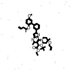 C=CCOC1(C)CCN(c2c([C@H](OC(C)(C)C)C(=O)OCC)c(C)nc3cc(-c4cccc(-c5cc(OC)ccc5O[C@@H](C)CC=C)c4)nn23)CC1